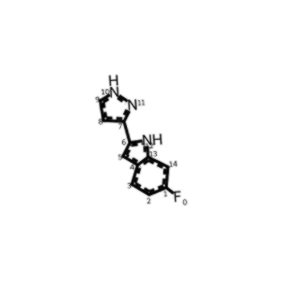 Fc1ccc2cc(-c3cc[nH]n3)[nH]c2c1